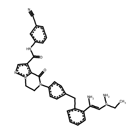 CCN(N)/C=C(\N)c1ccccc1Cc1ccc(N2CCn3ncc(C(=O)Nc4cccc(C#N)c4)c3C2=O)cc1